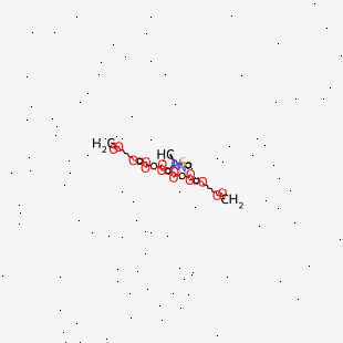 C#CCCN(/N=C/c1cc(OC(=O)C2CCC(C(=O)Oc3ccc(OCCCCCCOC(=O)C=C)cc3)CC2)ccc1OC(=O)C1CCC(C(=O)Oc2ccc(OCCCCCCOC(=O)C=C)cc2)CC1)c1nc2ccccc2s1